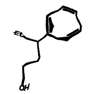 C[CH]C(CCO)c1ccccc1